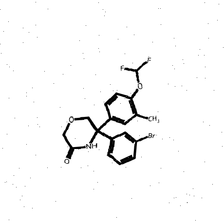 Cc1cc(C2(c3cccc(Br)c3)COCC(=O)N2)ccc1OC(F)F